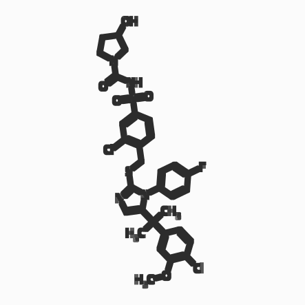 COc1cc(C(C)(C)c2cnc(SCc3ccc(S(=O)(=O)NC(=O)N4CCC(O)C4)cc3Cl)n2-c2ccc(F)cc2)ccc1Cl